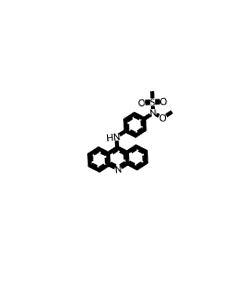 CON(c1ccc(Nc2c3ccccc3nc3ccccc23)cc1)S(C)(=O)=O